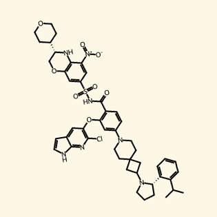 CC(C)c1ccccc1[C@@H]1CCCN1C1CC2(CCN(c3ccc(C(=O)NS(=O)(=O)c4cc5c(c([N+](=O)[O-])c4)N[C@@H](C4CCOCC4)CO5)c(Oc4cc5cc[nH]c5nc4Cl)c3)CC2)C1